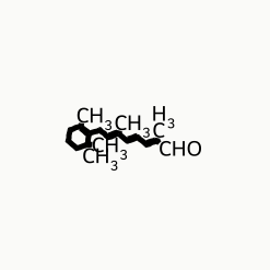 CC1=C(C/C=C(C)/C=C/C=C(\C)C=O)C(C)(C)CCC1